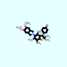 COc1cc2c(cc1OC)CN(c1c(C)c(C)c3c(c1C)[C@@H](c1ccc(Br)cc1)C(C)(C)O3)C2